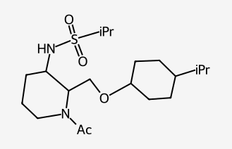 CC(=O)N1CCCC(NS(=O)(=O)C(C)C)C1COC1CCC(C(C)C)CC1